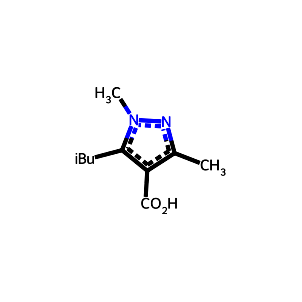 CCC(C)c1c(C(=O)O)c(C)nn1C